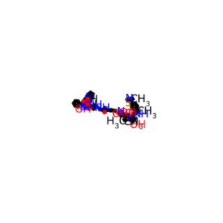 Cc1ncsc1-c1ccc([C@H](C)NC(=O)[C@@H]2C[C@@H](O)CN2C(=O)[C@H](c2cc(OCC#CC34CC(CNC5CC(Oc6cc(N7C8CC[C@@H]7CN(c7cc(-c9ccccc9O)nnc7N)C8)ccn6)C5)(C3)C4)no2)C(C)C)cc1